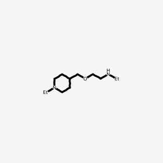 CCNCCOCC1CCN(CC)CC1